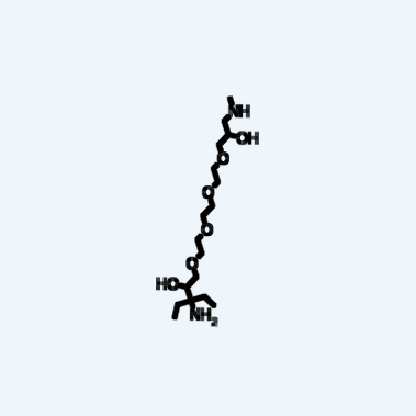 CCC(N)(CC)C(O)COCCOCCOCCOCC(O)CNC